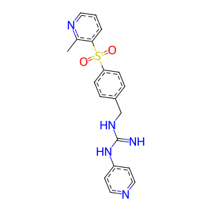 Cc1ncccc1S(=O)(=O)c1ccc(CNC(=N)Nc2ccncc2)cc1